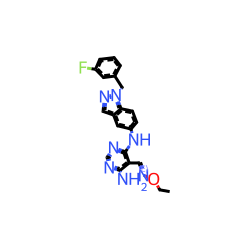 CCO/N=C/c1c(N)ncnc1Nc1ccc2c(cnn2Cc2cccc(F)c2)c1